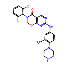 Cc1cc(Nc2ncc3c(n2)OCN(c2c(Cl)cccc2Cl)C3=O)ccc1N1CCNCC1